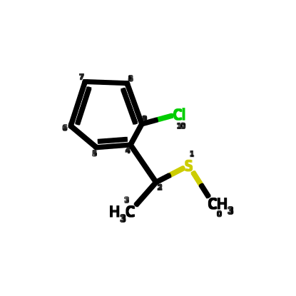 CSC(C)c1ccccc1Cl